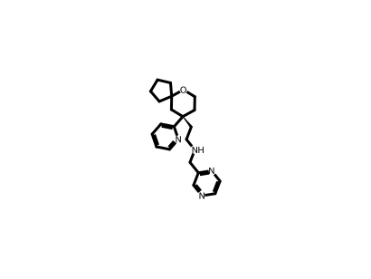 c1ccc([C@@]2(CCNCc3cnccn3)CCOC3(CCCC3)C2)nc1